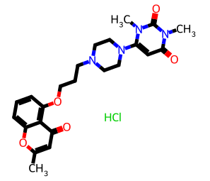 Cc1cc(=O)c2c(OCCCN3CCN(c4cc(=O)n(C)c(=O)n4C)CC3)cccc2o1.Cl